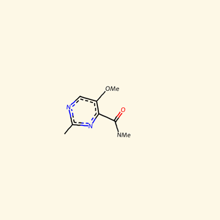 CNC(=O)c1nc(C)ncc1OC